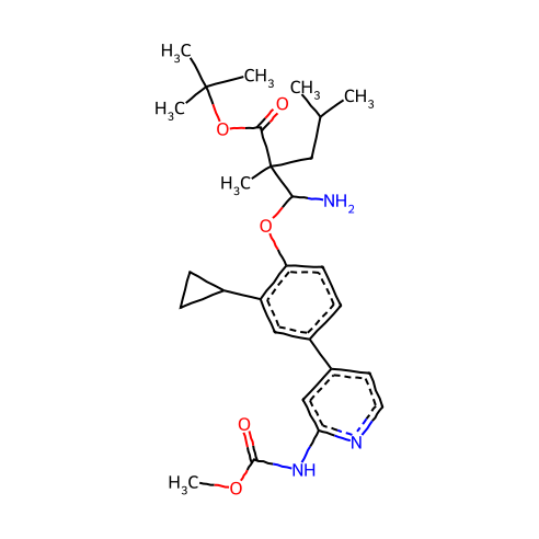 COC(=O)Nc1cc(-c2ccc(OC(N)C(C)(CC(C)C)C(=O)OC(C)(C)C)c(C3CC3)c2)ccn1